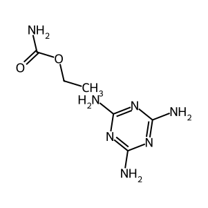 CCOC(N)=O.Nc1nc(N)nc(N)n1